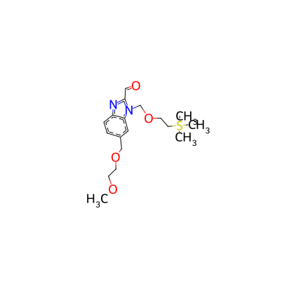 COCCOCc1ccc2nc(C=O)n(COCCS(C)(C)C)c2c1